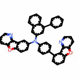 c1ccc(-c2cc(N(c3ccc(-c4cccc5oc6cccnc6c45)cc3)c3ccc4oc5cccnc5c4c3)cc3ccccc23)cc1